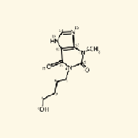 Cn1c(=O)n(CCCCO)c(=O)c2[nH]cnc21